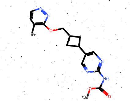 CC(C)c1ccnnc1OCC1CC(c2cnc(NC(=O)OC(C)(C)C)nc2)C1